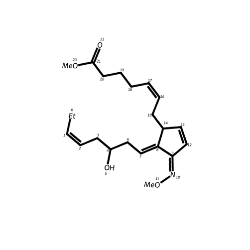 CC/C=C\CC(O)C/C=C1/C(=N\OC)C=CC1C/C=C\CCCC(=O)OC